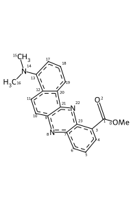 COC(=O)c1cccc2nc3ccc4c(N(C)C)cccc4c3nc12